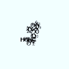 Cn1ccc2oc(-c3ccc(C4(NC(=O)O)CCC4)cc3)c(-c3ccccc3)c2c1=O